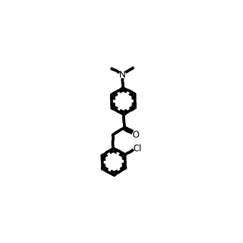 CN(C)c1ccc(C(=O)Cc2ccccc2Cl)cc1